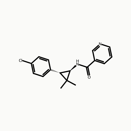 CC1(C)[C@H](NC(=O)c2cccnc2)[C@H]1c1ccc(Cl)cc1